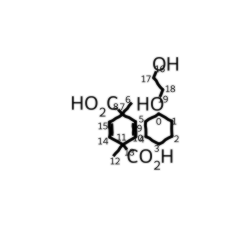 C1CCCCC1.CC1(C(=O)O)C=CC(C)(C(=O)O)C=C1.OCCO